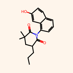 CCCC1CC(C)(C)C(=O)N(c2cccc3ccc(O)cc23)C1=O